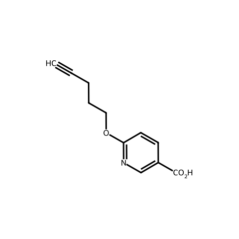 C#CCCCOc1ccc(C(=O)O)cn1